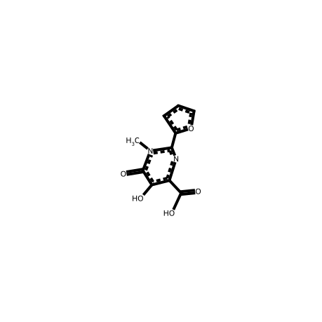 Cn1c(-c2ccco2)nc(C(=O)O)c(O)c1=O